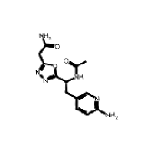 CC(=O)N[C@@H](Cc1ccc(N)nc1)c1nnc(CC(N)=O)o1